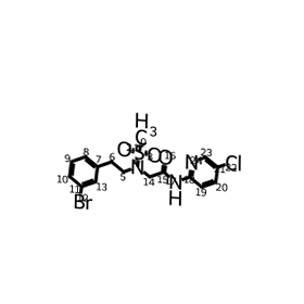 CS(=O)(=O)N(CCc1cccc(Br)c1)CC(=O)Nc1ccc(Cl)cn1